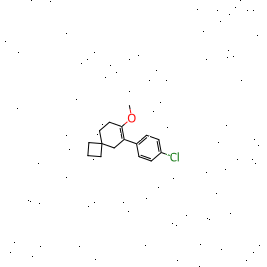 COC1=C(c2ccc(Cl)cc2)CC2(CCC2)CC1